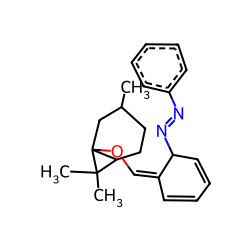 CC1CCC2C(C)(C)C2(OC=C2C=CC=CC2N=Nc2ccccc2)C1